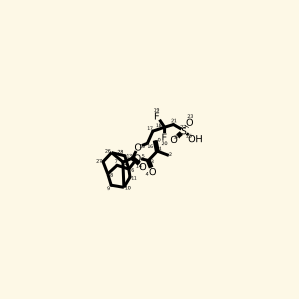 C=C(C)C(=O)OC12CC3CC(C1)C(C(=O)OCCC(F)(F)CS(=O)(=O)O)C(C3)C2